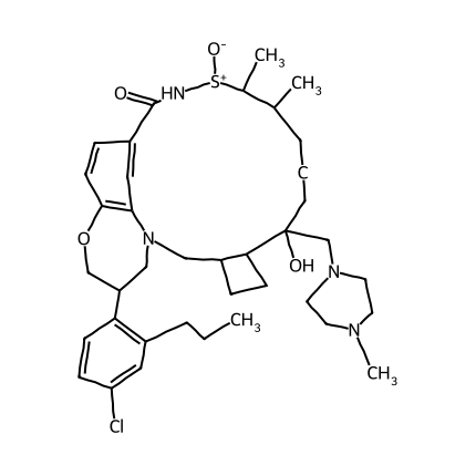 CCCc1cc(Cl)ccc1C1COc2ccc3cc2N(C1)CC1CCC1C(O)(CN1CCN(C)CC1)CCCC(C)C(C)[S+]([O-])NC3=O